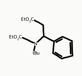 CCOC(=O)CC(c1ccccc1)N(C(=O)OCC)C(C)(C)C